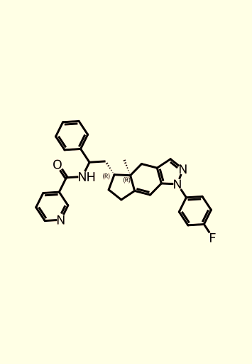 C[C@]12Cc3cnn(-c4ccc(F)cc4)c3C=C1CC[C@@H]2CC(NC(=O)c1cccnc1)c1ccccc1